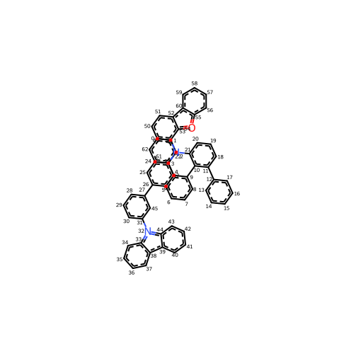 c1ccc(-c2ccccc2-c2c(-c3ccccc3)cccc2N(c2ccc(-c3cccc(-n4c5ccccc5c5ccccc54)c3)cc2)c2cccc3c2oc2ccccc23)cc1